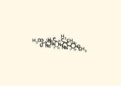 COC(=O)c1cnc(N2CCN(c3nnc(-c4ccc(OC)cc4)c(C)c3C)C[C@H]2C)cn1